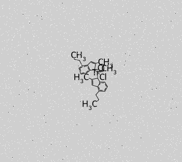 C[CH]=[Ti]([Cl])([Cl])([CH]1C(C)=Cc2c(CCC)cccc21)[CH]1C(C)=Cc2c(CCC)cccc21